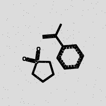 C=C(C)c1ccccc1.O=S1(=O)CCCC1